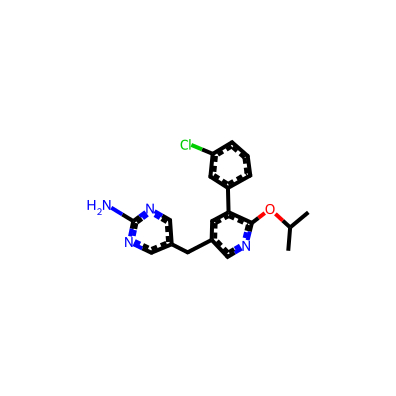 CC(C)Oc1ncc(Cc2cnc(N)nc2)cc1-c1cccc(Cl)c1